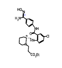 CCOC(=O)CCN1CCCC[C@@H]1CNc1ccc(Cl)cc1C(=O)Nc1ccc(/C(N)=N/O)cc1